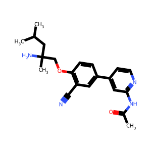 CC(=O)Nc1cc(-c2ccc(OCC(C)(N)CC(C)C)c(C#N)c2)ccn1